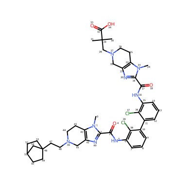 Cn1c(C(=O)Nc2cccc(-c3cccc(NC(=O)c4nc5c(n4C)CCN(CC(C)(C)C(=O)O)C5)c3Cl)c2Cl)nc2c1CCN(CCC13CCC(CC1)C3)C2